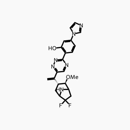 C=C(c1cnc(-c2ccc(-n3ccnc3)cc2O)nn1)[C@H]1CC2NC(CC2(F)F)[C@@H]1OC